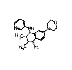 CC(=O)N1c2ccc(N3CCOCC3)cc2C(Nc2cccnc2)[C@@H](C)[C@@H]1C